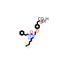 CCOC(Cc1ccc(OCCN(CCCCCC(C)(F)F)C(=O)NCCc2ccccc2)cc1)C(=O)O